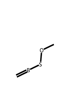 C=BSOC